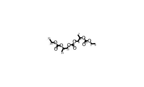 CCOC(=O)OC(C)COC(=O)OCC(C)OC(=O)OCC